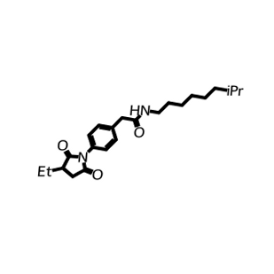 CCC1CC(=O)N(c2ccc(CC(=O)NCCCCCCC(C)C)cc2)C1=O